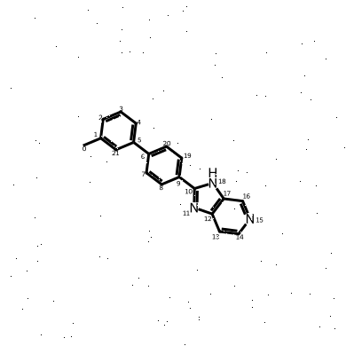 Cc1cccc(-c2ccc(-c3nc4ccncc4[nH]3)cc2)c1